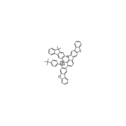 CC(C)(C)c1ccc(Nc2cc3oc4ccccc4c3cc2-c2ccc3c4cc5sc6ccccc6c5cc4n4c3c2Bc2cc3c(cc2-4)C(C)(C)c2ccccc2-3)cc1